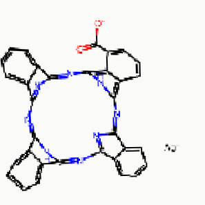 O=C([O-])c1cccc2c3nc4nc(nc5[nH]c(nc6nc(nc([nH]3)c12)-c1ccccc1-6)c1ccccc51)-c1ccccc1-4.[Ag+]